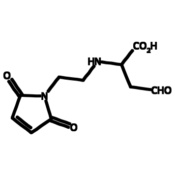 O=CCC(NCCN1C(=O)C=CC1=O)C(=O)O